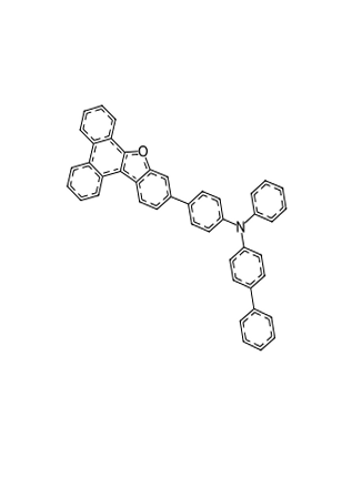 c1ccc(-c2ccc(N(c3ccccc3)c3ccc(-c4ccc5c(c4)oc4c6ccccc6c6ccccc6c54)cc3)cc2)cc1